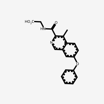 Cc1c(C(=O)NCC(=O)O)ncc2cc(Oc3ccccc3)ccc12